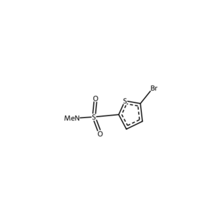 CNS(=O)(=O)c1ccc(Br)s1